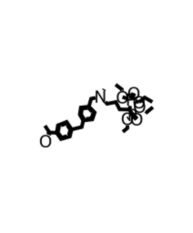 CCOP(=O)(OCC)C(CCCN(C)Cc1ccc(Cc2ccc(C(C)=O)cc2)cc1)P(=O)(OCC)OCC